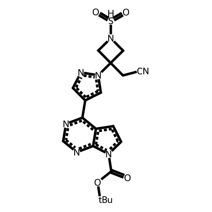 CC(C)(C)OC(=O)n1ccc2c(-c3cnn(C4(CC#N)CN([SH](=O)=O)C4)c3)ncnc21